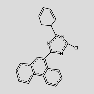 Clc1nc(-c2cc3ccccc3c3ccccc23)nc(C2C=CC=CC2)n1